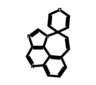 C1=CC2(C=CO1)C=Cc1cccc3ncc4ncn2c4c13